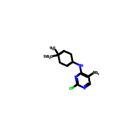 CCOC(=O)C1(C)CCC(Nc2nc(Cl)ncc2[N+](=O)[O-])CC1